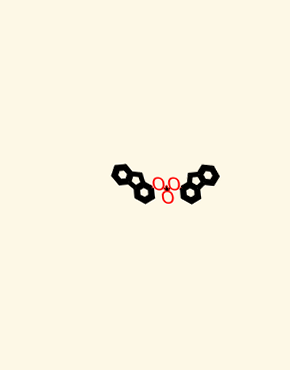 O=C(Oc1cccc2c1Cc1ccccc1-2)Oc1cccc2c1Cc1ccccc1-2